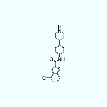 O=C(Nc1ccc(C2CCNCC2)cc1)c1cc2c(Cl)cccc2s1